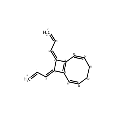 C=CC=C1C(=CC=C)C2=C1C=CCCC=C2